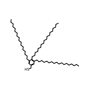 CCCCCCCCCCCCCCCCCCc1cc(CS)cc(CCCCCCCCCCCCCCCCCC)c1CCCCCCCCCCCCCCCCCC